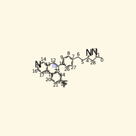 CC1=NN=C(CCc2ccc(/C=C/c3cnccc3-c3ccc(F)cc3)cc2)C1